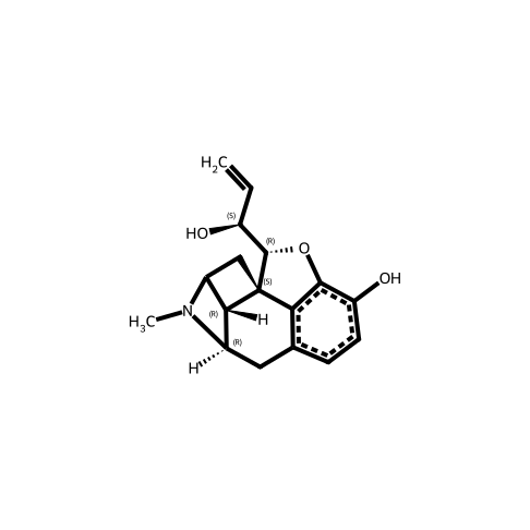 C=C[C@H](O)[C@@H]1Oc2c(O)ccc3c2[C@@]12CC1[C@H]2[C@@H](C3)N1C